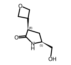 O=C1N[C@H](CO)C[C@@H]1C1COC1